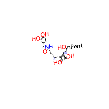 CCCCCC(O)/C=C/[C@@H]1[C@@H](C/C=C\CCCC(=O)NC(C)c2ccc(O)c(O)c2)[C@@H](O)C[C@H]1O